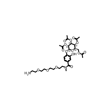 CC(=O)OC[C@H]1O[C@@H](Oc2ccc(C(=O)N(C)CCOCCOCCOCCN)cc2O)[C@H](OC(C)=O)[C@@H](OC(C)=O)[C@H]1OC(C)=O